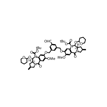 C=C1C[C@H]2C(OC3CCCCO3)N(C(=O)OC(C)(C)C)c3cc(OCc4cc(C=O)cc(COc5cc6c(cc5OC)C(=O)N5CC(=C)C[C@H]5[C@H](OC5CCCCO5)N6C(=O)OC(C)(C)C)c4)c(OC)cc3C(=O)N2C1